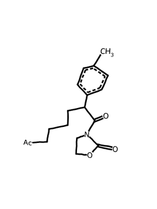 CC(=O)CCCCC(C(=O)N1CCOC1=O)c1ccc(C)cc1